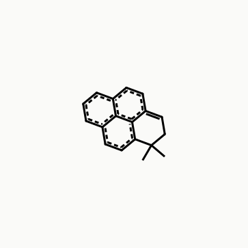 CC1(C)CC=c2ccc3cccc4ccc1c2c43